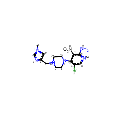 Cn1cnc(CN2CCN(c3c(Br)cnc(N)c3[N+](=O)[O-])CC2)c1